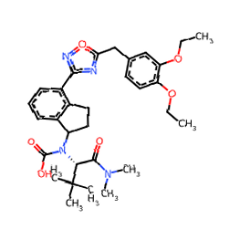 CCOc1ccc(Cc2nc(-c3cccc4c3CCC4N(C(=O)O)[C@H](C(=O)N(C)C)C(C)(C)C)no2)cc1OCC